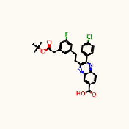 CC(C)(C)OC(=O)Cc1cc(F)cc(CCc2nc3cc(C(=O)O)ccc3nc2-c2ccc(Cl)cc2)c1